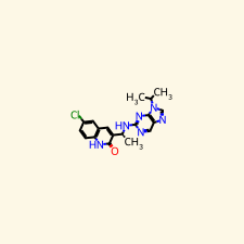 CC(C)n1cnc2cnc(N[C@@H](C)c3cc4cc(Cl)ccc4[nH]c3=O)nc21